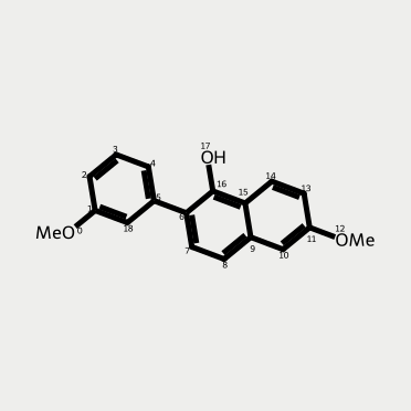 COc1cccc(-c2ccc3cc(OC)ccc3c2O)c1